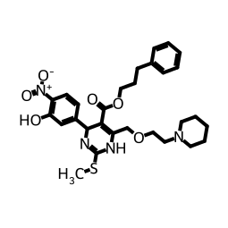 CSC1=NC(c2ccc([N+](=O)[O-])c(O)c2)C(C(=O)OCCCc2ccccc2)=C(COCCN2CCCCC2)N1